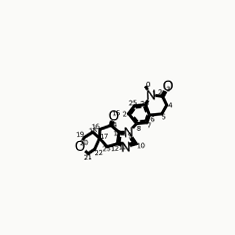 CN1C(=O)CCc2cc(-n3cnc4c3C(=O)CC3(CCOCC3)C4)ccc21